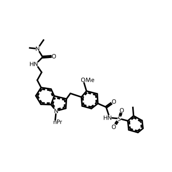 CCCn1cc(Cc2ccc(C(=O)NS(=O)(=O)c3ccccc3C)cc2OC)c2cc(CCNC(=O)N(C)C)ccc21